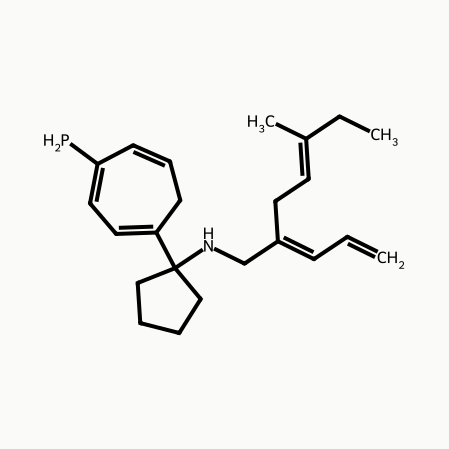 C=C/C=C(\C/C=C(\C)CC)CNC1(C2=CC=C(P)C=CC2)CCCC1